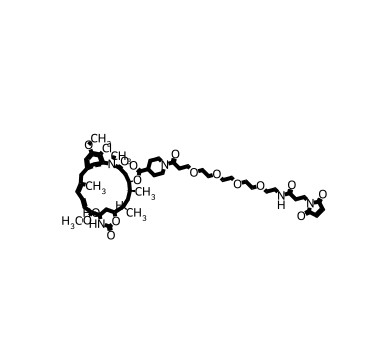 COc1cc2cc(c1Cl)N(C)C(=O)C[C@H](OC(=O)C1CCN(C(=O)CCOCCOCCOCCOCCNC(=O)CCN3C(=O)C=CC3=O)CC1)[C@@H](C)C[C@H](C)[C@@H]1C[C@@](O)(NC(=O)O1)C(OC)/C=C/C=C(\C)C2